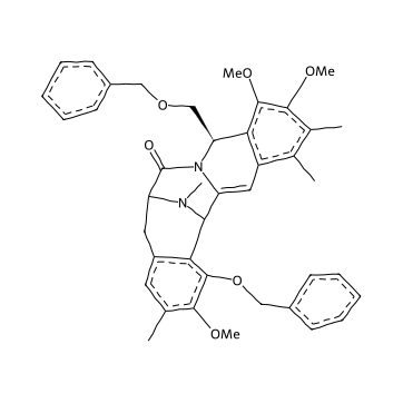 COc1c(C)cc2c(c1OCc1ccccc1)C1C3=Cc4c(C)c(C)c(OC)c(OC)c4[C@H](COCc4ccccc4)N3C(=O)C(C2)N1C